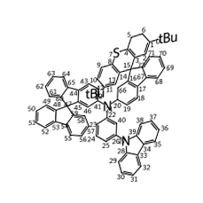 CC(C)(C)C1=CC2=C(CC1)Sc1ccc(C(C)(C)C)cc1C21C2=C(C=CC(N(c3cccc(-n4c5ccccc5c5ccccc54)c3)c3ccc4c(c3)C3(c5ccccc5-c5ccccc53)c3ccccc3-4)C2)c2ccccc21